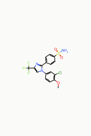 COc1ccc(-n2cc(C(F)(F)F)nc2-c2ccc(S(N)(=O)=O)cc2)cc1Cl